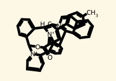 Cc1ccc(-c2cc3[n+]4c(c2)-c2ccccc2C(OC3=O)[n+]2ccccc2-c2cccc(-c3c5ccccc5cc[n+]3C)c2-4)cc1